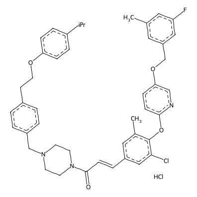 Cc1cc(F)cc(COc2ccc(Oc3c(C)cc(C=CC(=O)N4CCN(Cc5ccc(CCOc6ccc(C(C)C)cc6)cc5)CC4)cc3Cl)nc2)c1.Cl